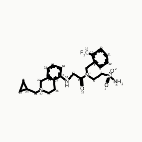 NS(=O)(=O)CCN(Cc1ccccc1C(F)(F)F)C(=O)CNc1cccc2c1CCN(CC1CC1)C2